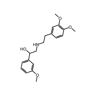 COc1cccc(C(O)CNCCc2ccc(OC)c(OC)c2)c1